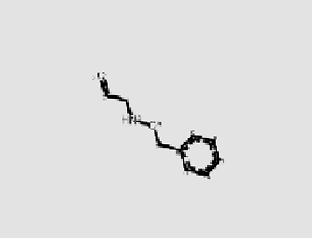 O=[C]CNOCc1ccccc1